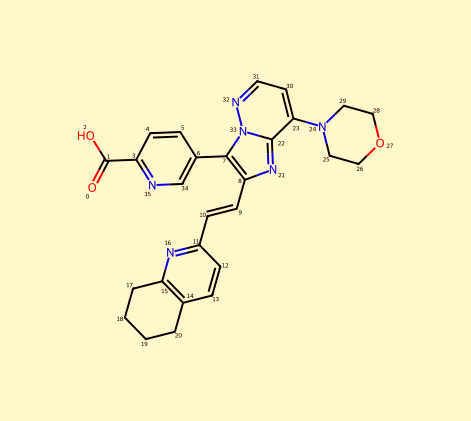 O=C(O)c1ccc(-c2c(C=Cc3ccc4c(n3)CCCC4)nc3c(N4CCOCC4)ccnn23)cn1